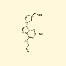 C=CCNc1nc(N)nc2c1ncn2[C@H]1C=C[C@@H](CO)C1